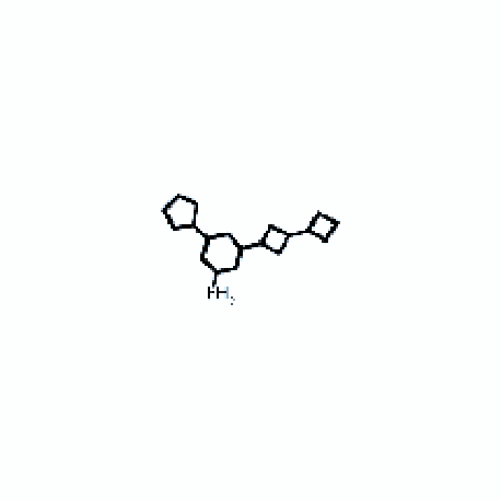 PC1CC(C2CCCC2)CC(C2CC(C3CCC3)C2)C1